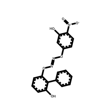 O=[N+]([O-])c1ccc(ON=NOc2cccc(O)c2-c2ccccc2)cc1O